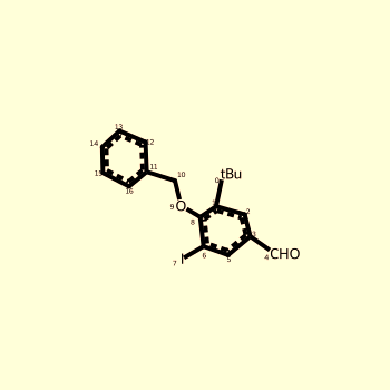 CC(C)(C)c1cc(C=O)cc(I)c1OCc1ccccc1